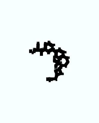 CCC1CC(N2CCOc3ncc(-c4ccnc(NC(C)=O)c4)cc3S2(=O)=O)C1